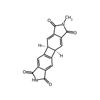 CN1C(=O)C2=C[C@@H]3c4cc5c(cc4[C@@H]3C=C2C1=O)C(=O)NC5=O